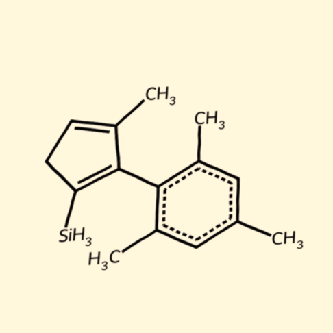 CC1=CCC([SiH3])=C1c1c(C)cc(C)cc1C